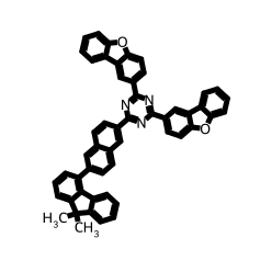 CC1(C)c2ccccc2-c2c(-c3ccc4cc(-c5nc(-c6ccc7oc8ccccc8c7c6)nc(-c6ccc7oc8ccccc8c7c6)n5)ccc4c3)cccc21